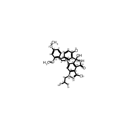 COc1ccc(CNc2cc3c(c(Cl)nn3CC(F)F)c3c2C(O)(c2cc(F)ccc2Cl)NC3=O)c(OC)c1